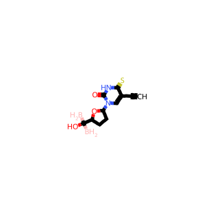 BC(B)(O)C1CCC(n2cc(C#C)c(=S)[nH]c2=O)O1